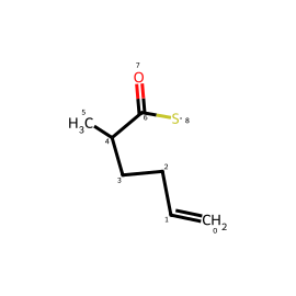 C=CCCC(C)C(=O)[S]